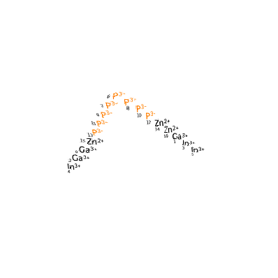 [Ga+3].[Ga+3].[Ga+3].[In+3].[In+3].[In+3].[P-3].[P-3].[P-3].[P-3].[P-3].[P-3].[P-3].[P-3].[Zn+2].[Zn+2].[Zn+2]